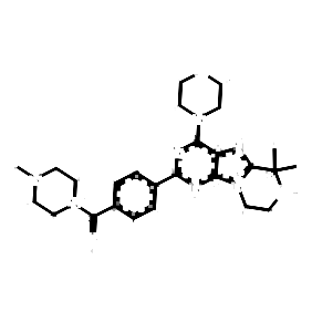 CN1CCN(C(=O)c2ccc(-c3nc(N4CCOCC4)c4nc5n(c4n3)CCOC5(C)C)cc2)CC1